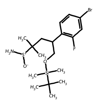 CC(C)(CC(CO[Si](C)(C)C(C)(C)C)c1ccc(Br)cc1F)[S+](N)[O-]